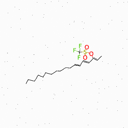 CC=C(C=CC=CCCCCCCCCCCC)OS(=O)(=O)C(F)(F)F